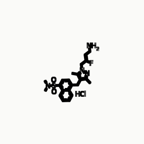 Cc1nn(C/C(F)=C/CN)c(C)c1Cc1ccc(S(=O)(=O)N(C)C)c2ccccc12.Cl